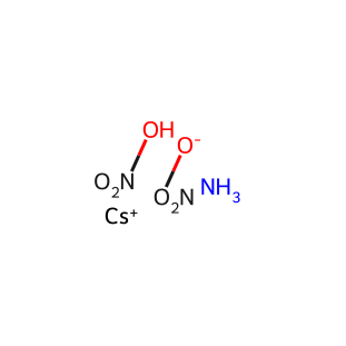 N.O=[N+]([O-])O.O=[N+]([O-])[O-].[Cs+]